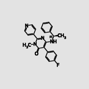 C[C@@H](Nc1nc(-c2ccncc2)n(C)c(=O)c1-c1ccc(F)cc1)c1ccccc1